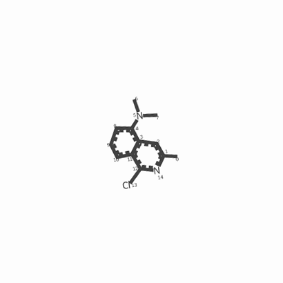 Cc1cc2c(N(C)C)cccc2c(Cl)n1